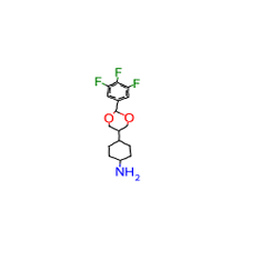 NC1CCC(C2COC(c3cc(F)c(F)c(F)c3)OC2)CC1